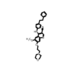 COc1cc2c(Nc3ccc(CCc4ccccc4)cc3)c(C#N)cnc2cc1OCCCN1CCOCC1